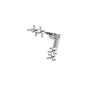 Cl.N.N.N.N.N.N.N.N.O=P(O)(O)O.O=P(O)(O)O.O=P(O)(O)O.O=P(O)(O)O.O=S(=O)(O)O.O=S(=O)(O)O.O=[N+]([O-])O.O=[N+]([O-])O